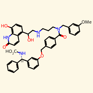 COc1cccc(CN(CCCNCC(O)c2ccc(O)c3[nH]c(=O)ccc23)C(=O)c2ccc(COc3cccc([C@@H](NC(=O)O)c4ccccc4)c3)cc2)c1